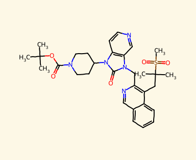 CC(C)(C)OC(=O)N1CCC(n2c(=O)n(Cc3ncc4ccccc4c3CC(C)(C)S(C)(=O)=O)c3cnccc32)CC1